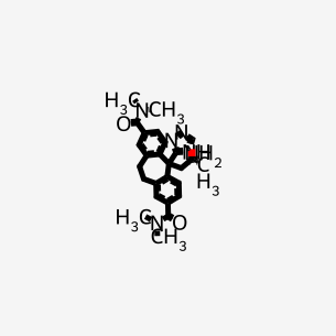 C[C@H](N)CC1(c2nnc[nH]2)c2ccc(C(=O)N(C)C)cc2CCc2cc(C(=O)N(C)C)ccc21